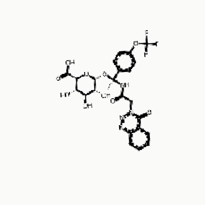 C[C@](NC(=O)Cn1nnc2ccccc2c1=O)(O[C@H]1O[C@H](C(=O)O)[C@@H](O)[C@H](O)[C@H]1O)c1ccc(OC(F)(F)F)cc1